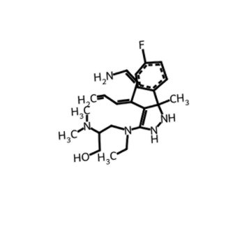 C=C/C=C(\C=C/N)C1=C(N(CC)CC(CO)N(C)C)NNC1(C)c1ccc(F)cc1